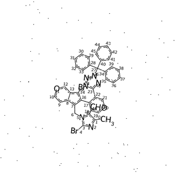 Cc1nc(Br)n(Cc2c3ccocc-3c(Br)c2-c2ccccc2-c2nnn(C(c3ccccc3)(c3ccccc3)c3ccccc3)n2)c1C=O